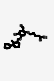 Cc1c(COc2cc(OCCCCC(=O)O)c(C=O)cc2Cl)cccc1-c1ccccc1